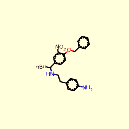 CCCCC(NCCc1ccc(N)cc1)c1ccc(OCc2ccccc2)c([N+](=O)[O-])c1